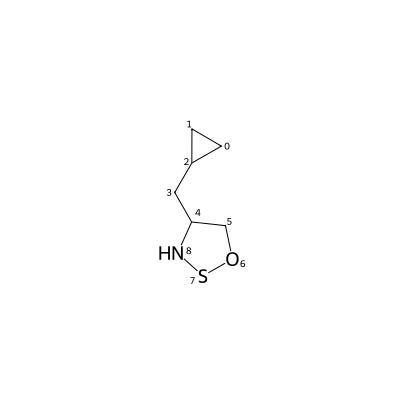 C1CC1CC1COSN1